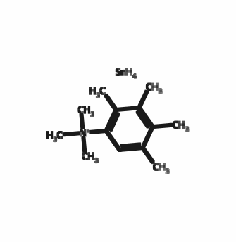 Cc1cc([N+](C)(C)C)c(C)c(C)c1C.[SnH4]